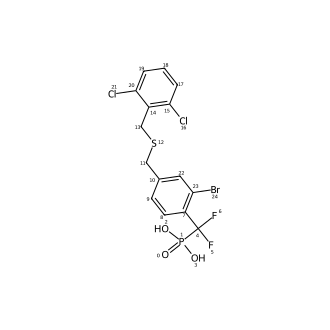 O=P(O)(O)C(F)(F)c1ccc(CSCc2c(Cl)cccc2Cl)cc1Br